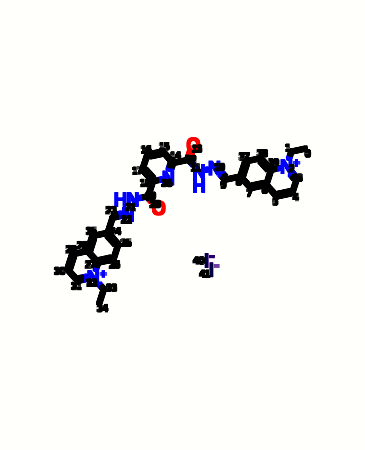 CC[n+]1cccc2cc(C=NNC(=O)c3cccc(C(=O)NN=Cc4ccc5c(ccc[n+]5CC)c4)n3)ccc21.[I-].[I-]